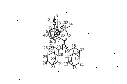 C[Si](C)(C)[C]12[CH]3[CH]4[C]5(CP(C6C7CC8CC(C7)CC6C8)C6C7CC8CC(C7)CC6C8)[C]1([Si](C)(C)C)[Fe]43521678[CH]2[CH]1[CH]6[CH]7[CH]28